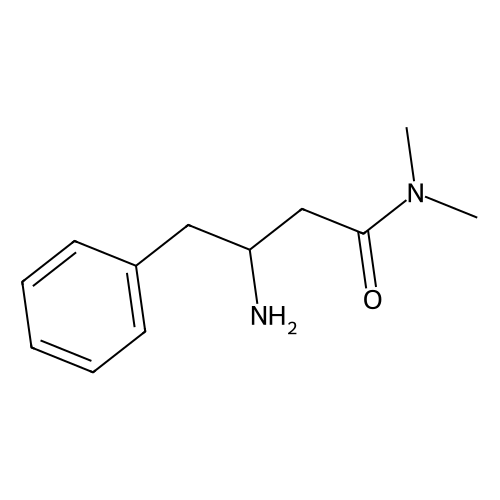 CN(C)C(=O)CC(N)Cc1ccccc1